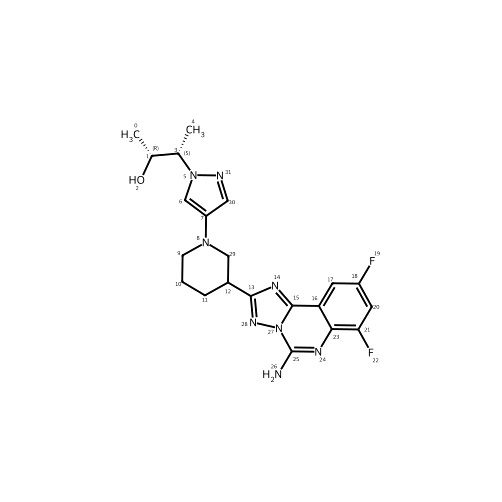 C[C@@H](O)[C@H](C)n1cc(N2CCCC(c3nc4c5cc(F)cc(F)c5nc(N)n4n3)C2)cn1